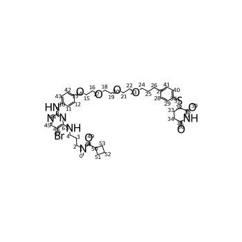 CN(CCCNc1nc(Nc2ccc(OCCOCCOCCOCCCc3ccc(SC4CCC(=O)NC4=O)cc3)cc2)ncc1Br)C(=O)C1CCC1